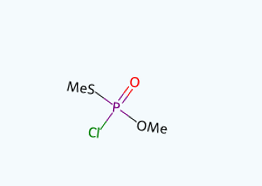 COP(=O)(Cl)SC